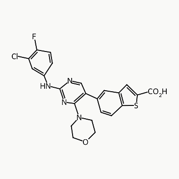 O=C(O)c1cc2cc(-c3cnc(Nc4ccc(F)c(Cl)c4)nc3N3CCOCC3)ccc2s1